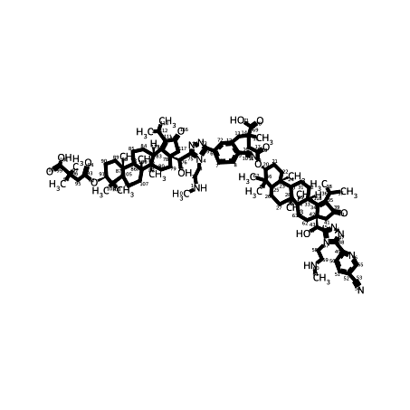 CNCCn1c(-c2ccc(C#N)c(CC(C)(CC(=O)O[C@H]3CC[C@@]4(C)C(CC[C@]5(C)C4CC[C@@H]4C6=C(C(C)C)C(=O)C[C@]6(C(O)c6nnc(-c7ccc(C#N)cn7)n6CCNC)CC[C@]45C)C3(C)C)C(=O)O)c2)nnc1C(O)[C@@]12CC[C@]3(C)[C@H](CCC4[C@@]5(C)CC[C@H](OC(=O)CC(C)(C)C(=O)O)C(C)(C)C5CC[C@]43C)C1=C(C(C)C)C(=O)C2